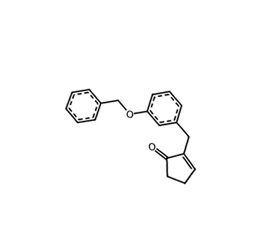 O=C1CCC=C1Cc1cccc(OCc2ccccc2)c1